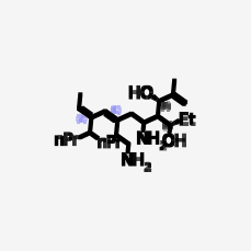 C=C(C)[C@H](O)C(C(N)C/C(=C/C(=C\C)C(CCC)CCC)CCN)[C@H](O)CC